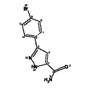 NC(=O)c1cc(-c2ccc(Br)cc2)n[nH]1